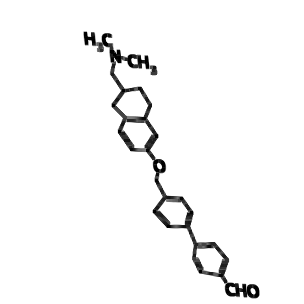 CN(C)CC1CCc2cc(OCc3ccc(-c4ccc(C=O)cc4)cc3)ccc2C1